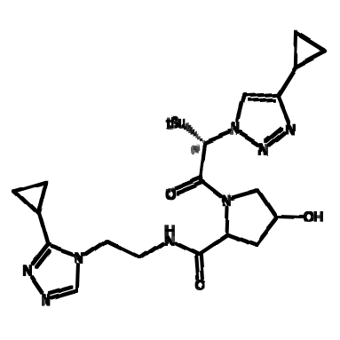 CC(C)(C)[C@@H](C(=O)N1CC(O)CC1C(=O)NCCn1cnnc1C1CC1)n1cc(C2CC2)nn1